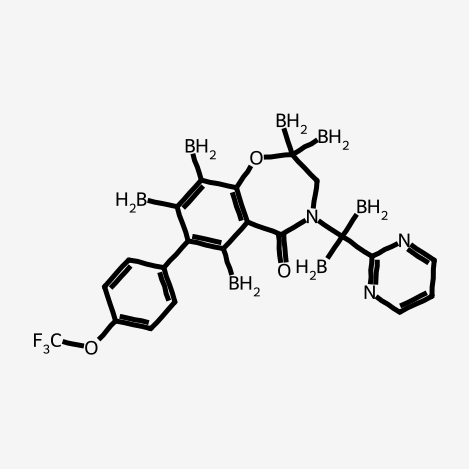 Bc1c(B)c(-c2ccc(OC(F)(F)F)cc2)c(B)c2c1OC(B)(B)CN(C(B)(B)c1ncccn1)C2=O